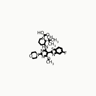 COc1nc(N2CCOCC2)nc(NC2CCCN(C(=O)O)[C@@H]2C(C)(C)C)c1-c1nc2cc(F)ccc2s1